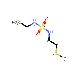 CCSCCNS(=O)(=O)NCC(=O)O